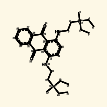 CC[N+](C)(CC)CCNc1ccc(NCC[N+](C)(CC)CC)c2c1C(=O)c1ccccc1C2=O